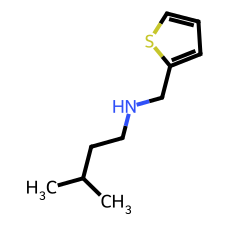 CC(C)CCNCc1cccs1